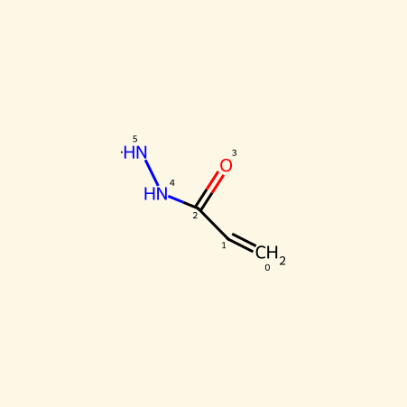 C=CC(=O)N[NH]